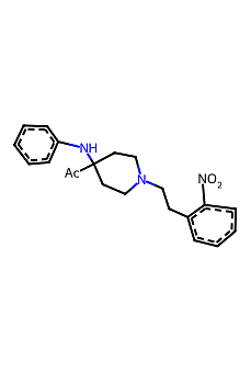 CC(=O)C1(Nc2ccccc2)CCN(CCc2ccccc2[N+](=O)[O-])CC1